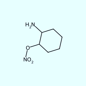 NC1CCCCC1O[N+](=O)[O-]